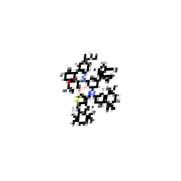 Cc1ccc2c(c1)B1c3sc4cc5c(cc4c3N(c3ccc4c(c3)C(C)(C)CCC4(C)C)c3cc(C46CC7CC(CC(C7)C4)C6)cc(c31)N2c1ccc(C(C)(C)C)cc1-c1ccccc1)C(C)(C)CCC5(C)C